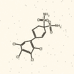 NS(=O)(=O)C1(S(N)(=O)=O)C=CC(c2cc(Cl)c(Cl)c(Cl)c2Cl)=CC1